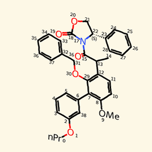 CCCOc1cccc(-c2c(OC)ccc(C(C)C(=O)N3C(=O)OC[C@@H]3c3ccccc3)c2OCc2ccccc2)c1